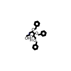 OC/C=C/[C@@H](OCc1ccccc1)[C@H](OCc1ccccc1)[C@H](O)COCc1ccccc1